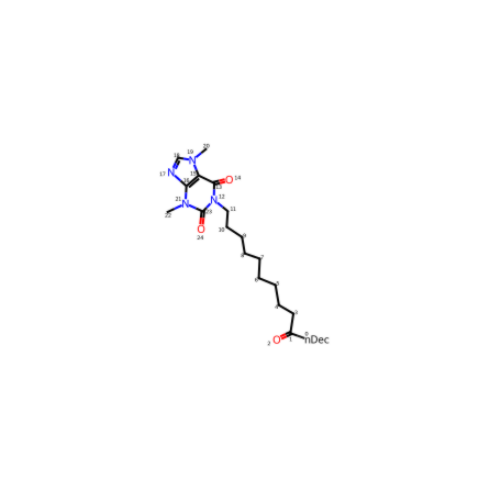 CCCCCCCCCCC(=O)CCCCCCCCCn1c(=O)c2c(ncn2C)n(C)c1=O